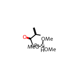 C=C(C)C(=O)CCC.CO[SiH](OC)OC